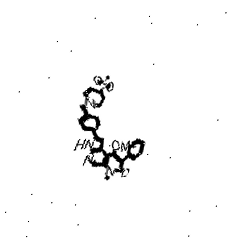 COc1c(-c2ccccc2)c(=O)n(C)c2cnc3[nH]c(-c4ccc(CN5CCC(S(C)(=O)=O)CC5)cc4)cc3c12